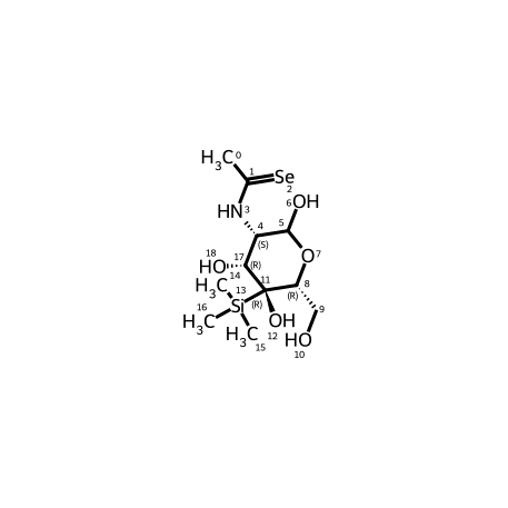 CC(=[Se])N[C@@H]1C(O)O[C@H](CO)[C@](O)([Si](C)(C)C)[C@@H]1O